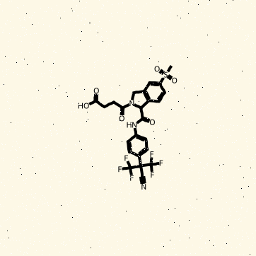 CS(=O)(=O)c1ccc2c(c1)CN(C(=O)CCC(=O)O)C2C(=O)Nc1ccc(C(C#N)(C(F)(F)F)C(F)(F)F)cc1